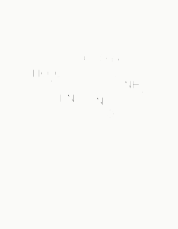 NC(=O)CC(C=O)[C@H](Nc1noc2c1CCc1ccccc1-2)C(=O)O